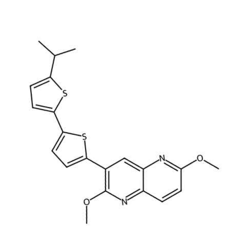 COc1ccc2nc(OC)c(-c3ccc(-c4ccc(C(C)C)s4)s3)cc2n1